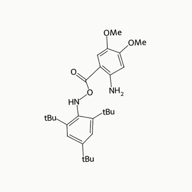 COc1cc(N)c(C(=O)ONc2c(C(C)(C)C)cc(C(C)(C)C)cc2C(C)(C)C)cc1OC